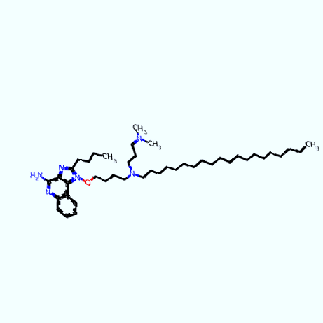 CCCCCCCCCCCCCCCCCCCCN(CCCCOn1c(CCCC)nc2c(N)nc3ccccc3c21)CCCN(C)C